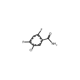 NC(=O)c1cc(Cl)c(F)cc1F